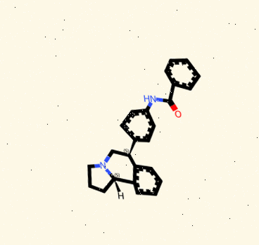 O=C(Nc1ccc([C@@H]2CN3CCC[C@H]3c3ccccc32)cc1)c1ccccc1